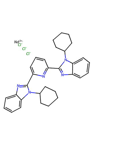 [Cl-].[Cl-].[Cl-].[Nd+3].c1cc(-c2nc3ccccc3n2C2CCCCC2)nc(-c2nc3ccccc3n2C2CCCCC2)c1